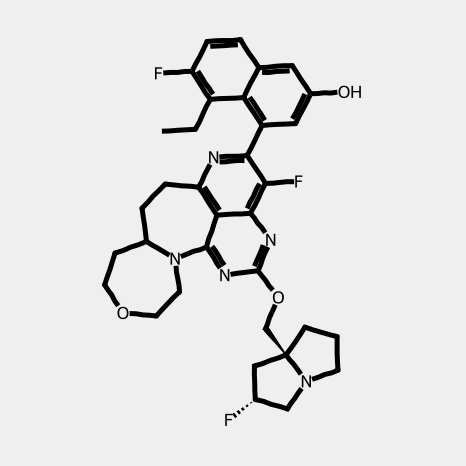 CCc1c(F)ccc2cc(O)cc(-c3nc4c5c(nc(OC[C@@]67CCCN6C[C@H](F)C7)nc5c3F)N3CCOCCC3CC4)c12